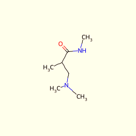 CNC(=O)C(C)CN(C)C